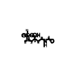 CN(C[C@@H](O)CCNC=O)S(C)(=O)=O